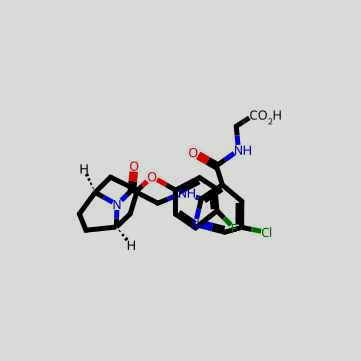 O=C(O)CNC(=O)c1cc(Cl)cnc1NCC(=O)N1[C@@H]2CC[C@H]1CC(Oc1ccc(F)cc1)C2